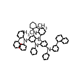 CC12CCCCC1(C)N1c3cc(N(c4ccccc4)c4ccccc4-c4ccccc4)cc4c3B(c3ccc(N(c5ccccc5)c5cccc(-c6cccc7ccccc67)c5)cc3N4c3ccccc3)c3cccc2c31